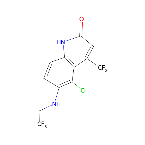 O=c1cc(C(F)(F)F)c2c(Cl)c(NCC(F)(F)F)ccc2[nH]1